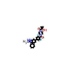 CN1CC2(C3CCCCCC3)CCC(c3cc(F)c(C(=O)N4CCN(C(=O)C5(O)CC5)CC4)c(F)c3)CC2N1